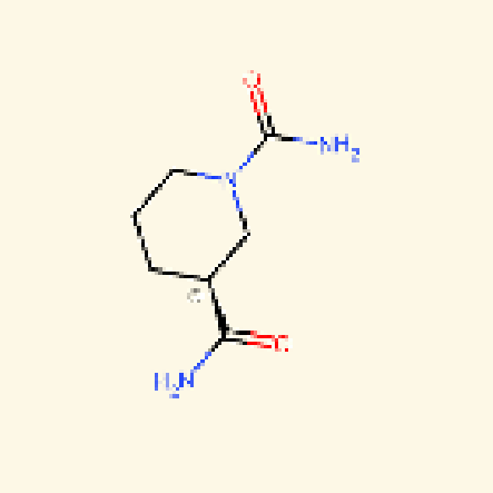 NC(=O)[C@H]1CCCN(C(N)=O)C1